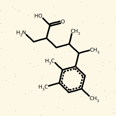 Cc1cc(C)c(C)c(C(C)C(C)CC(CN)C(=O)O)c1